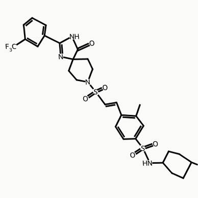 Cc1cc(S(=O)(=O)NC2CCC(O)CC2)ccc1/C=C/S(=O)(=O)N1CCC2(CC1)N=C(c1cccc(C(F)(F)F)c1)NC2=O